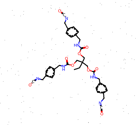 CCC(COC(=O)NCc1ccc(CN=C=O)cc1)(COC(=O)NCc1ccc(CN=C=O)cc1)COC(=O)NCc1ccc(CN=C=O)cc1